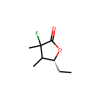 CC[C@H]1OC(=O)C(C)(F)C1C